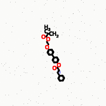 C=C(C)C(=O)OCCOc1ccc(-c2ccc(OC(=O)/C=C/c3ccccc3)cc2)cc1